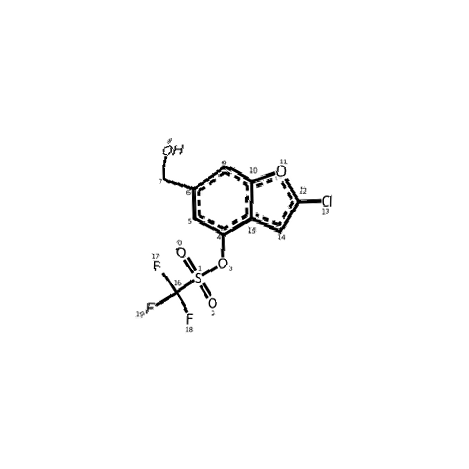 O=S(=O)(Oc1cc(CO)cc2oc(Cl)cc12)C(F)(F)F